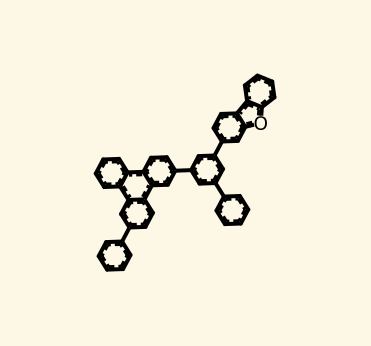 c1ccc(-c2cc(-c3ccc4c(c3)oc3ccccc34)cc(-c3ccc4c5ccccc5c5cc(-c6ccccc6)ccc5c4c3)c2)cc1